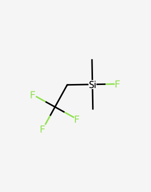 C[Si](C)(F)CC(F)(F)F